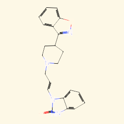 O=c1[nH]c2ccccc2n1C=CCN1CCC(c2noc3ccccc23)CC1